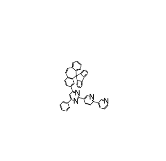 C1=Cc2ccc(-c3cc(-c4ccccc4)nc(-c4ccc(-c5cccnc5)nc4)n3)cc2C2(c3ccccc31)c1ccccc1-c1ccccc12